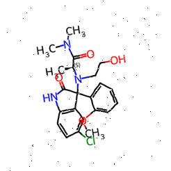 COc1ccccc1C1(N(CCO)[C@@H](C)C(=O)N(C)C)C(=O)Nc2ccc(Cl)cc21